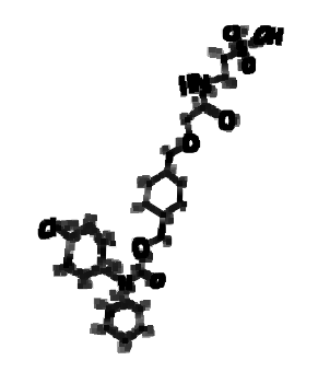 O=C(COC[C@H]1CC[C@@H](COC(=O)N(c2ccccc2)c2ccc(Cl)cc2)CC1)NCCS(=O)(=O)O